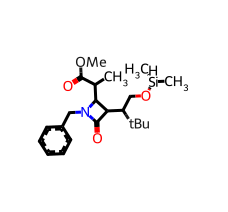 COC(=O)C(C)C1C(C(CO[SiH](C)C)C(C)(C)C)C(=O)N1Cc1ccccc1